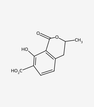 CC1Cc2ccc(C(=O)O)c(O)c2C(=O)O1